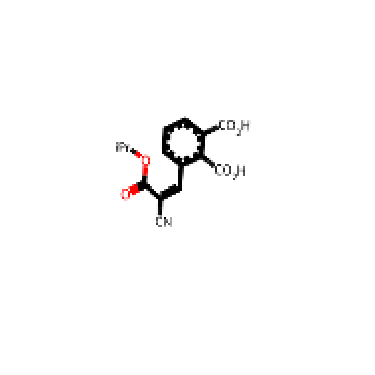 CC(C)OC(=O)C(C#N)=Cc1cccc(C(=O)O)c1C(=O)O